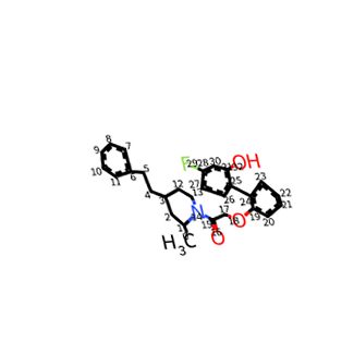 CC1CC(CCc2ccccc2)CCN1C(=O)COc1ccccc1-c1ccc(F)cc1O